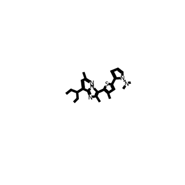 CCC(CC)c1cc(C)nn2c(-c3sc(-c4cccn4N(C)C)cc3C)c(C)nc12